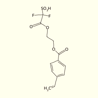 C=Cc1ccc(C(=O)OCCOC(=O)C(F)(F)S(=O)(=O)O)cc1